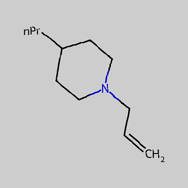 C=CCN1CCC(CCC)CC1